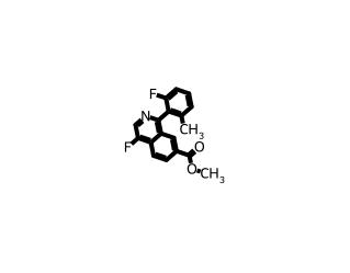 COC(=O)c1ccc2c(F)cnc(-c3c(C)cccc3F)c2c1